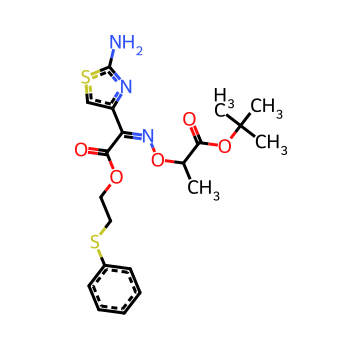 CC(ON=C(C(=O)OCCSc1ccccc1)c1csc(N)n1)C(=O)OC(C)(C)C